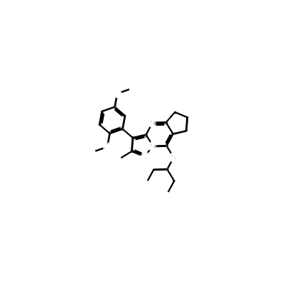 CCC(CC)Nc1c2c(nc3c(-c4cc(OC)ccc4OC)c(C)nn13)CCC2